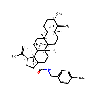 C=C(C)[C@@H]1CC[C@]2(C(=O)NCc3ccc(OC)cc3)CC[C@]3(C)[C@H](CC[C@@H]4[C@@]5(C)CC[C@H](OC(C)=O)C(=C)[C@@H]5CC[C@]43C)[C@@H]12